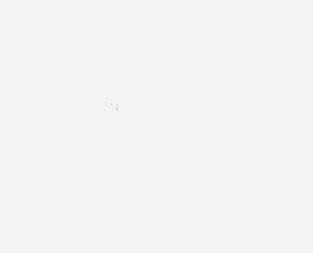 c1ccc(CC2CCN(CC3CCCCC3)CC2)cc1